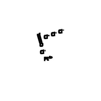 [C]=O.[Cl-].[Cl-].[Cl-].[Cl-].[Pt+4]